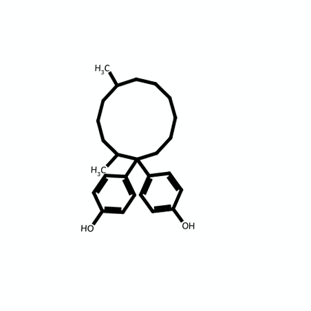 CC1CCCCCCC(c2ccc(O)cc2)(c2ccc(O)cc2)C(C)CCC1